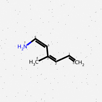 C=C/C=C(C)\C=C/N